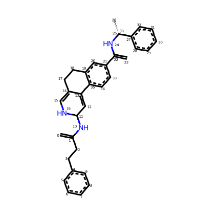 C=C(CCc1ccccc1)NC1C=C2C(=CN1)CCc1cc(C(=C)N[C@H](C)c3ccccc3)ccc12